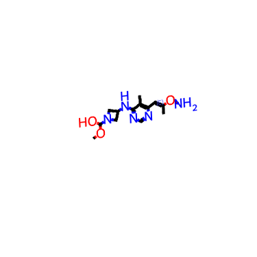 COC(O)N1CC(Nc2ncnc(/C=C(\C)ON)c2C)C1